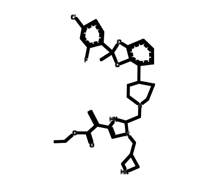 C=C(C(=O)OCC)C1=CN(CC2CNC2)C(CN2CCC(c3cccc4c3OC(C)(c3ccc(Cl)cc3F)O4)CC2)N1